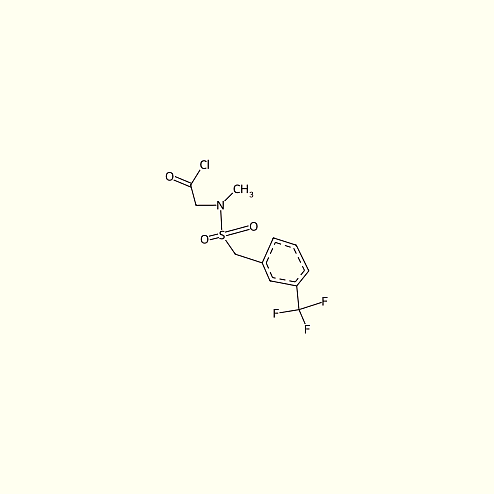 CN(CC(=O)Cl)S(=O)(=O)Cc1cccc(C(F)(F)F)c1